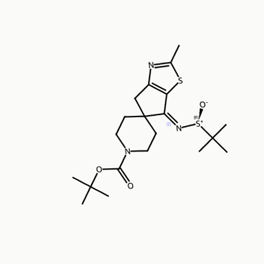 Cc1nc2c(s1)/C(=N\[S@@+]([O-])C(C)(C)C)C1(CCN(C(=O)OC(C)(C)C)CC1)C2